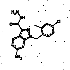 Cc1cc(Cl)ccc1Cn1nc(C(=O)NN)c2ccc(N)cc21